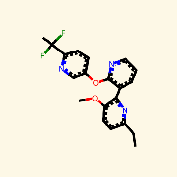 CCc1ccc(OC)c(-c2cccnc2Oc2ccc(C(C)(F)F)nc2)n1